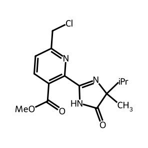 COC(=O)c1ccc(CCl)nc1C1=NC(C)(C(C)C)C(=O)N1